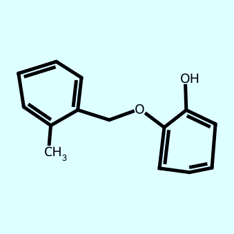 Cc1ccccc1COc1ccccc1O